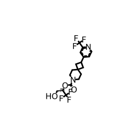 O=C(O[C@H](CO)C(F)(F)F)N1CCC2(CC1)CC(c1ccnc(C(F)(F)F)c1)C2